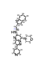 C(=N\Nc1cc(N2CCOCC2)n2nc(-c3ccncc3)cc2n1)/c1cc2ccccc2s1